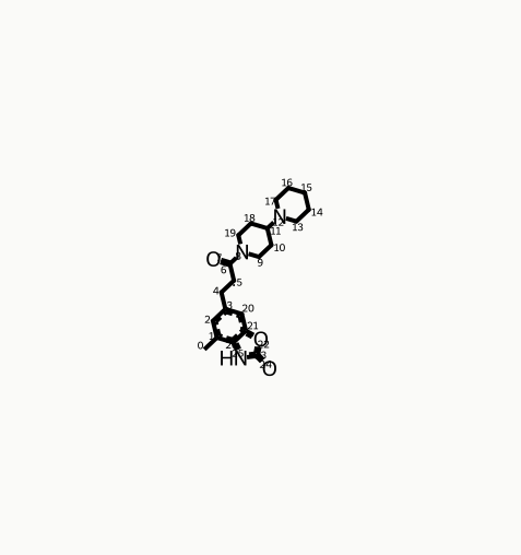 Cc1cc(C[CH]C(=O)N2CCC(N3CCCCC3)CC2)cc2oc(=O)[nH]c12